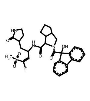 CS(=O)(=O)C(F)=CC(CC1CCNC1=O)NC(=O)C1C2CCCC2CN1C(=O)C1(O)c2ccccc2-c2ccccc21